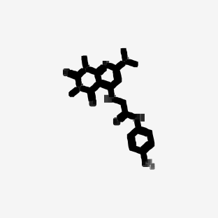 CN(C)c1cc(NCC(=O)Nc2ccc(C(F)(F)F)cc2)c2c(=O)n(C)c(=O)n(C)c2n1